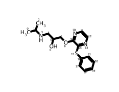 CC(C)NCC(O)COc1nccnc1Sc1ccccc1